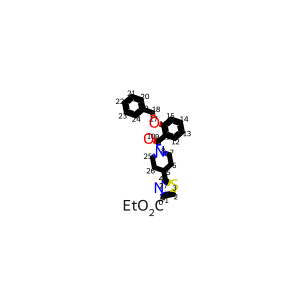 CCOC(=O)c1csc(C2CCN(C(=O)c3ccccc3OCc3ccccc3)CC2)n1